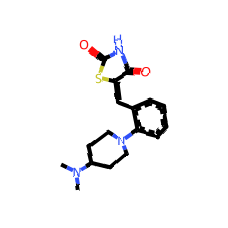 CN(C)C1CCN(c2ccccc2C=C2SC(=O)NC2=O)CC1